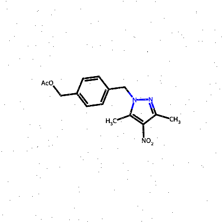 CC(=O)OCc1ccc(Cn2nc(C)c([N+](=O)[O-])c2C)cc1